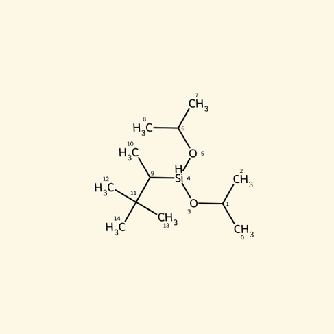 CC(C)O[SiH](OC(C)C)C(C)C(C)(C)C